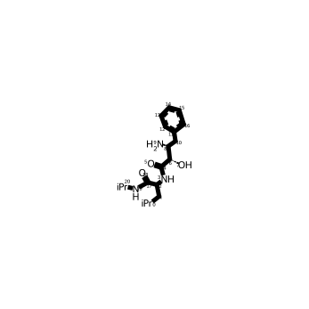 CC(C)CC(NC(=O)[C@@H](O)[C@H](N)Cc1ccccc1)C(=O)NC(C)C